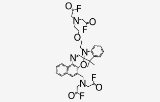 CC1(C)c2ccccc2N(CCOCCN(CC(=O)F)CC(=O)F)C12C=Nc1c(c(CN(CC(=O)F)CC(=O)F)cc3ccccc13)O2